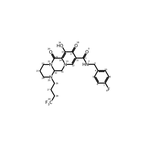 O=C(NCc1ccc(F)cc1)c1cn2c(c(O)c1=O)C(=O)N1CCCN(CCCC(F)(F)F)C1C2